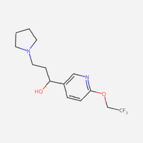 OC(CCN1CCCC1)c1ccc(OCC(F)(F)F)nc1